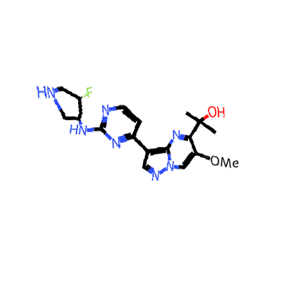 COc1cn2ncc(-c3ccnc(N[C@H]4CNC[C@@H]4F)n3)c2nc1C(C)(C)O